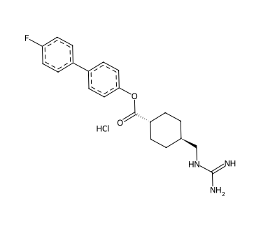 Cl.N=C(N)NC[C@H]1CC[C@H](C(=O)Oc2ccc(-c3ccc(F)cc3)cc2)CC1